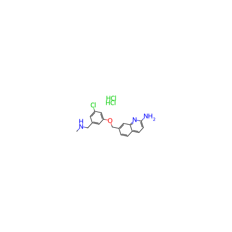 CNCc1cc(Cl)cc(OCc2ccc3ccc(N)nc3c2)c1.Cl.Cl